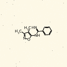 Cc1noc(NC(=N)c2ccccc2)c1C